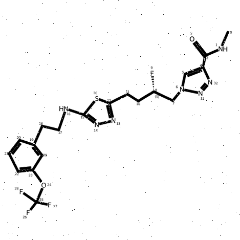 CNC(=O)c1cn(C[C@@H](F)CCc2nnc(NCCc3cccc(OC(F)(F)F)c3)s2)nn1